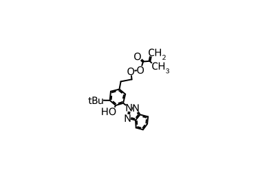 C=C(C)C(=O)OOCCc1cc(-n2nc3ccccc3n2)c(O)c(C(C)(C)C)c1